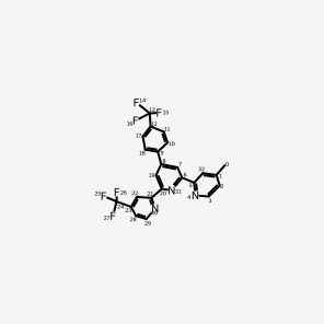 Cc1ccnc(-c2cc(-c3ccc(C(F)(F)F)cc3)cc(-c3cc(C(F)(F)F)ccn3)n2)c1